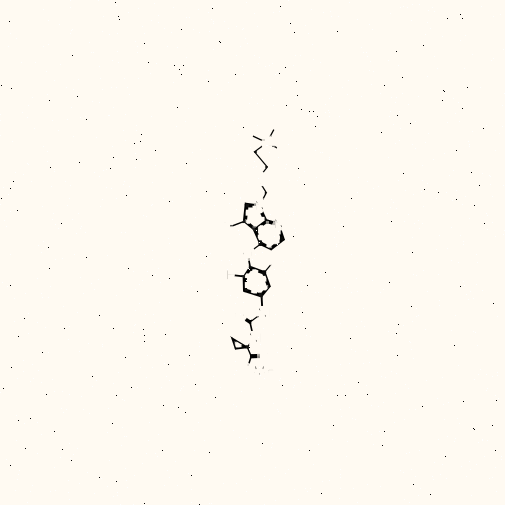 COC(=O)C1(NC(=O)Nc2cc(F)c(Oc3ccnc4c3c(Cl)cn4COCC[Si](C)(C)C)c(F)c2)CC1